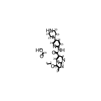 CCOc1c(C)nc2ncc(C(=O)Nc3ccc(N4CCNCC4)cn3)cn12.O=CO